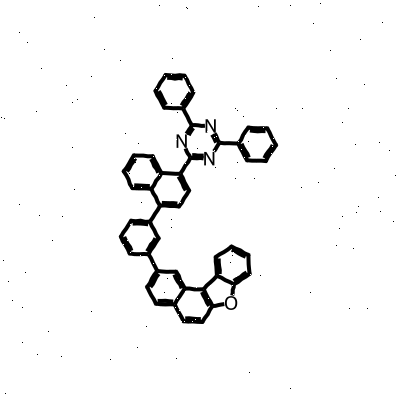 c1ccc(-c2nc(-c3ccccc3)nc(-c3ccc(-c4cccc(-c5ccc6ccc7oc8ccccc8c7c6c5)c4)c4ccccc34)n2)cc1